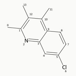 Cc1nc2cc(Cl)ccc2c(C)c1C